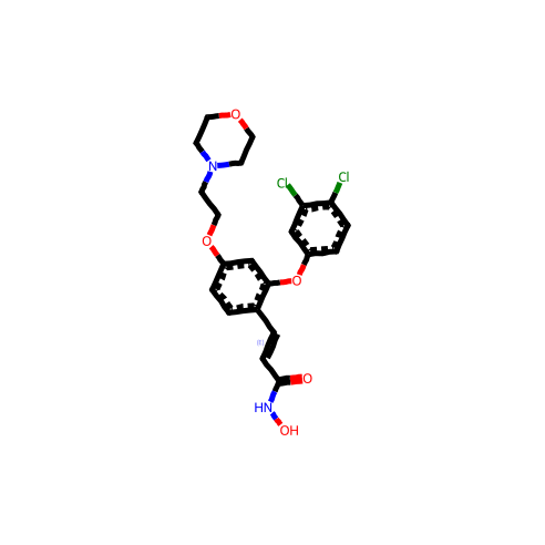 O=C(/C=C/c1ccc(OCCN2CCOCC2)cc1Oc1ccc(Cl)c(Cl)c1)NO